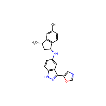 C[C@H]1C[C@H](Nc2ccc3[nH]nc(-c4cnco4)c3c2)c2ccc(C#N)cc21